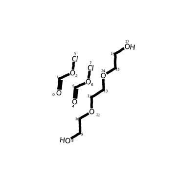 O=COCl.O=COCl.OCCOCCOCCO